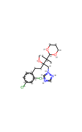 COC(CCc1ccc(Cl)cc1Cl)(Cn1cncn1)C(C)(C)C1OCCCO1